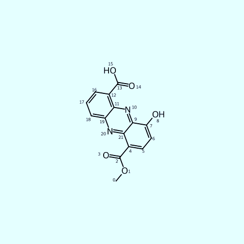 COC(=O)c1ccc(O)c2nc3c(C(=O)O)cccc3nc12